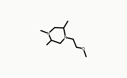 COCCN1CC(C)N(C)CC1C